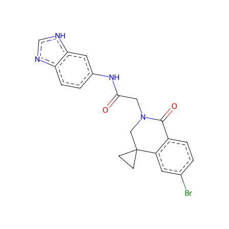 O=C(CN1CC2(CC2)c2cc(Br)ccc2C1=O)Nc1ccc2nc[nH]c2c1